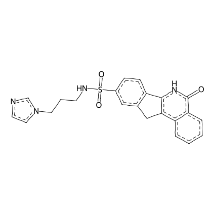 O=c1[nH]c2c(c3ccccc13)Cc1cc(S(=O)(=O)NCCCn3ccnc3)ccc1-2